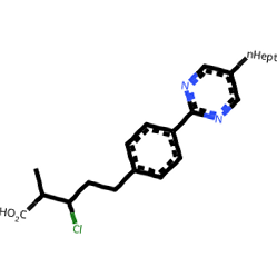 CCCCCCCc1cnc(-c2ccc(CCC(Cl)C(C)C(=O)O)cc2)nc1